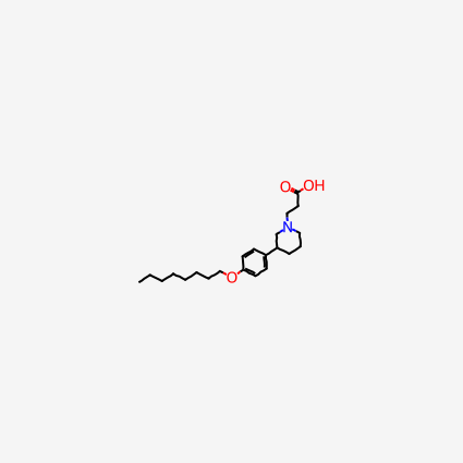 CCCCCCCCOc1ccc(C2CCCN(CCC(=O)O)C2)cc1